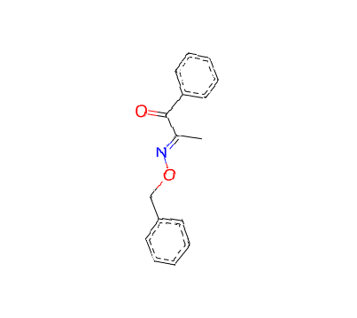 C/C(=N\OCc1ccccc1)C(=O)c1ccccc1